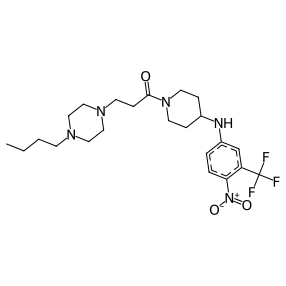 CCCCN1CCN(CCC(=O)N2CCC(Nc3ccc([N+](=O)[O-])c(C(F)(F)F)c3)CC2)CC1